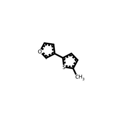 Cc1ccc(-c2[c]occ2)s1